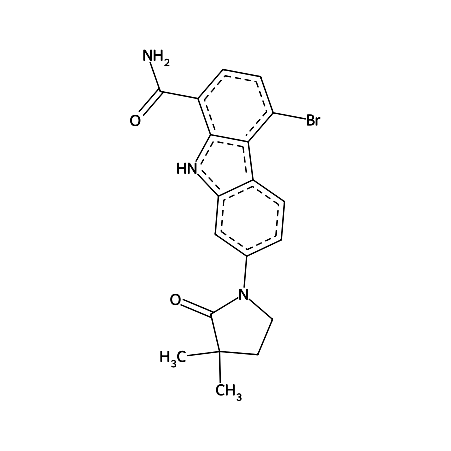 CC1(C)CCN(c2ccc3c(c2)[nH]c2c(C(N)=O)ccc(Br)c23)C1=O